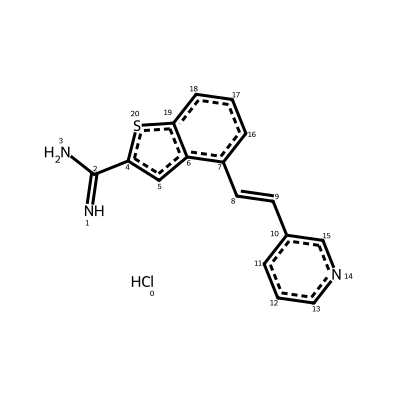 Cl.N=C(N)c1cc2c(C=Cc3cccnc3)cccc2s1